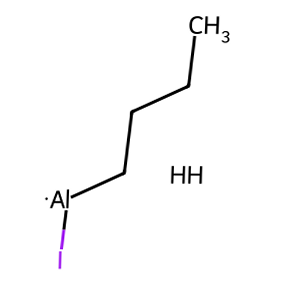 CCC[CH2][Al][I].[HH]